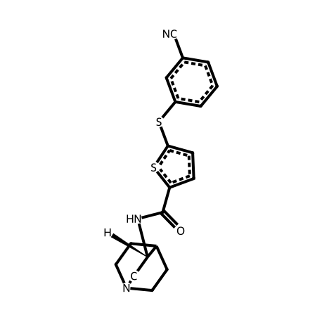 N#Cc1cccc(Sc2ccc(C(=O)N[C@H]3CN4CCC3CC4)s2)c1